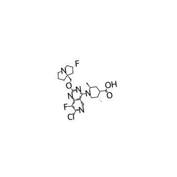 C[C@@H]1CN(c2nc(OC[C@@]34CCCN3C[C@H](F)C4)nc3c(F)c(Cl)ncc23)[C@@H](C)CC1C(=O)O